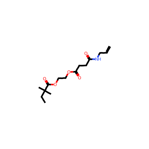 C=CCNC(=O)CCC(=O)OCCOC(=O)C(C)(C)CC